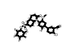 COc1cc(-c2ccc(Cl)c(C#N)c2)c(F)cc1-n1c(=O)ccc2cc(S(=O)(=O)Oc3c(F)c(F)c(F)c(F)c3F)ccc21